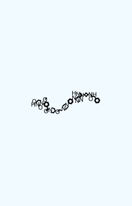 COc1ccc(C(=O)N2CCC(OCCN3CCN(c4ccc(Nc5ncnc6c5ncn6C5CC(NC(=O)Cc6ccccc6)C5)cc4)CC3)CC2)cc1N1CCC(=O)NC1=O